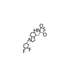 O=C1NC(Cc2cccc3c2ccn3Cc2ccc(F)c(F)c2)C(=O)S1